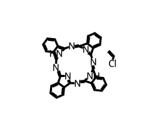 C=CCl.c1ccc2c(c1)-c1nc-2nc2[nH]c(nc3nc(nc4[nH]c(n1)c1ccccc41)-c1ccccc1-3)c1ccccc21